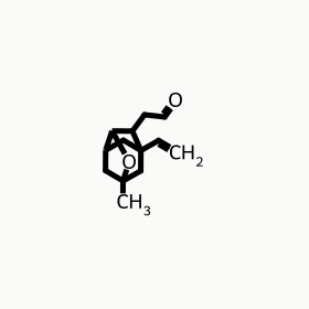 C=CC12CC3CC(C)(C1)OC3C2CC=O